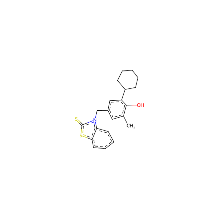 Cc1cc(Cn2c(=S)sc3ccccc32)cc(C2CCCCC2)c1O